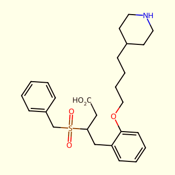 O=C(O)CC(Cc1ccccc1OCCCCC1CCNCC1)S(=O)(=O)Cc1ccccc1